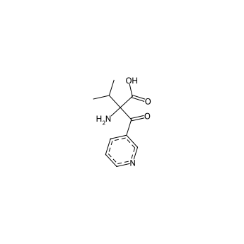 CC(C)C(N)(C(=O)O)C(=O)c1cccnc1